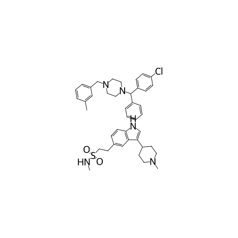 CNS(=O)(=O)CCc1ccc2[nH]cc(C3CCN(C)CC3)c2c1.Cc1cccc(CN2CCN(C(c3ccccc3)c3ccc(Cl)cc3)CC2)c1